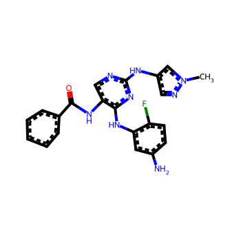 Cn1cc(Nc2ncc(NC(=O)c3ccccc3)c(Nc3cc(N)ccc3F)n2)cn1